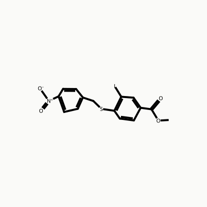 COC(=O)c1ccc(SCc2ccc([N+](=O)[O-])cc2)c(I)c1